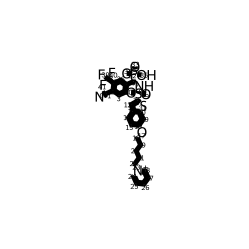 N#Cc1ccc(C(NS(=O)(=O)c2cc3ccc(OCCCCC[n+]4ccccc4)cc3s2)P(=O)([O-])O)cc1C(F)(F)F